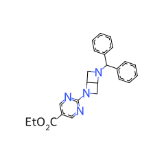 CCOC(=O)c1cnc(N2CC3C2CN3C(c2ccccc2)c2ccccc2)nc1